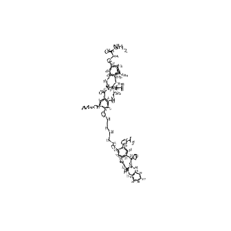 COc1cc2c(cc1OCCCCCOc1cc3c(cc1C)C(=O)N1Cc4ccccc4C[C@H]1C=N3)N=C[C@@H]1Cc3ccc(OCC(N)=O)cc3CN1C2=O